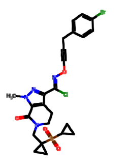 Cn1nc(/C(Cl)=N/OC#CCc2ccc(Br)cc2)c2c1C(=O)N(CC1(S(=O)(=O)C3CC3)CC1)CC2